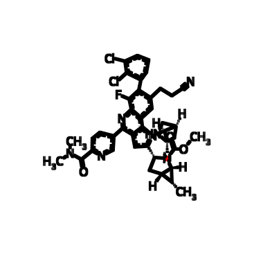 COC(=O)N1[C@@H]2[C@H](C)[C@@H]2C[C@@H]1c1cc2c(-c3ccc(C(=O)N(C)C)nc3)nc3c(F)c(-c4cccc(Cl)c4Cl)c(CCC#N)cc3c2n1[C@H]1[C@H]2CN[C@@H]1C2